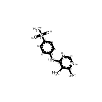 Cc1c(Nc2ccc(S(C)(=O)=O)cc2)ncnc1C(C)C